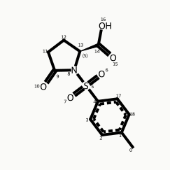 Cc1ccc(S(=O)(=O)N2C(=O)CC[C@H]2C(=O)O)cc1